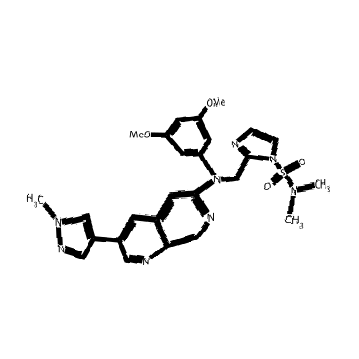 COc1cc(OC)cc(N(Cc2nccn2S(=O)(=O)N(C)C)c2cc3cc(-c4cnn(C)c4)cnc3cn2)c1